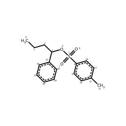 CCCC(OS(=O)(=O)c1ccc(C)cc1)c1ccccc1